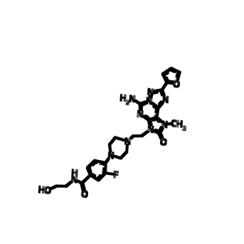 Cn1c(=O)n(CCN2CCN(c3ccc(C(=O)NCCO)cc3F)CC2)c2nc(N)n3nc(-c4ccco4)nc3c21